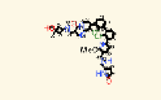 COc1nc(-c2cccc(-c3cccc(-c4ccn5c(=O)c(CN(C)C6CC(C)(O)C6)cnc5c4)c3Cl)c2Cl)ccc1CNC[C@H]1CCC(=O)N1